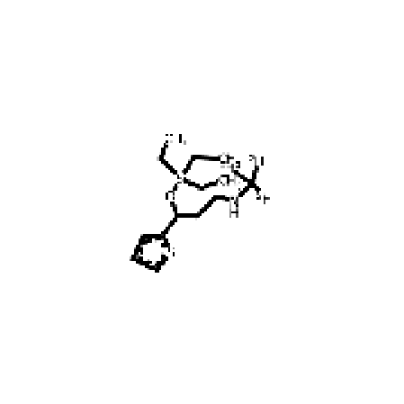 [2H]C([2H])([2H])NCCC(O[Si](CC)(CC)CC)c1cccs1